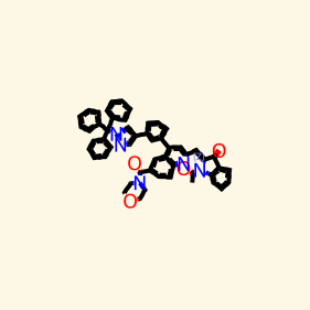 CC(=O)N1/C(=C\c2cc(-c3cccc(-c4cnn(C(c5ccccc5)(c5ccccc5)c5ccccc5)c4)c3)c3cc(C(=O)N4CCOCC4)ccc3n2)C(=O)c2ccccc21